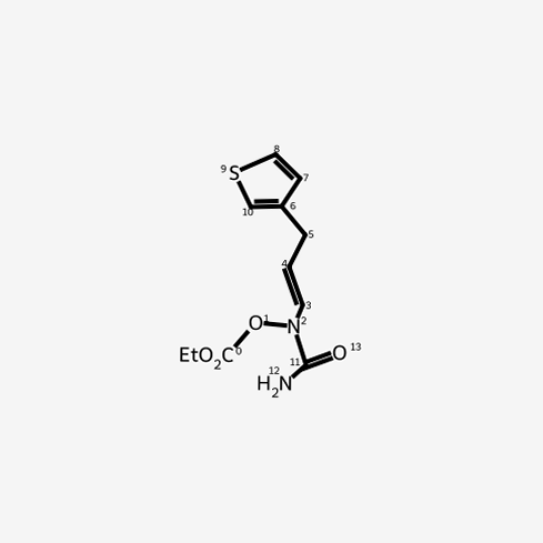 CCOC(=O)ON(C=CCc1ccsc1)C(N)=O